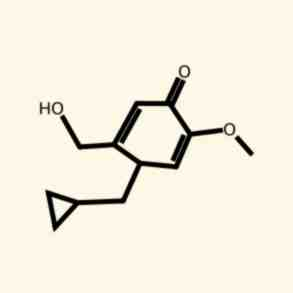 COC1=CC(CC2CC2)C(CO)=CC1=O